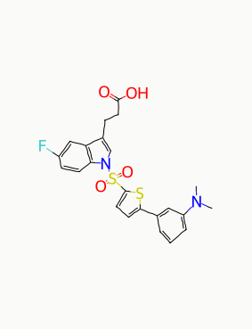 CN(C)c1cccc(-c2ccc(S(=O)(=O)n3cc(CCC(=O)O)c4cc(F)ccc43)s2)c1